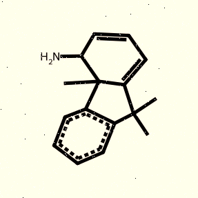 CC1(C)C2=CC=CC(N)C2(C)c2ccccc21